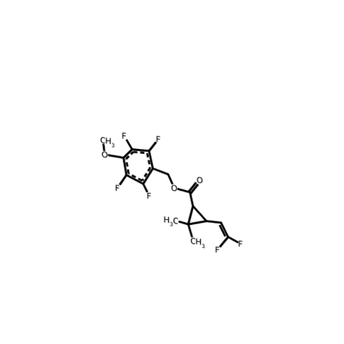 COc1c(F)c(F)c(COC(=O)C2C(C=C(F)F)C2(C)C)c(F)c1F